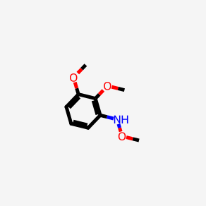 CONc1cccc(OC)c1OC